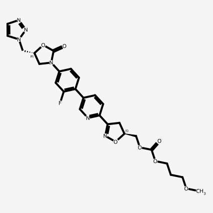 COCCCOC(=O)OC[C@@H]1CC(c2ccc(-c3ccc(N4C[C@H](Cn5ccnn5)OC4=O)cc3F)cn2)=NO1